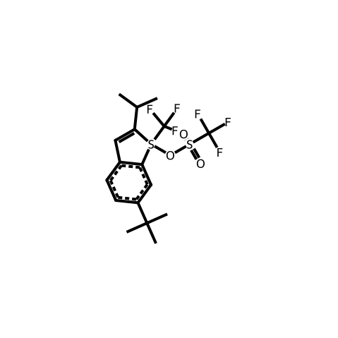 CC(C)C1=Cc2ccc(C(C)(C)C)cc2S1(OS(=O)(=O)C(F)(F)F)C(F)(F)F